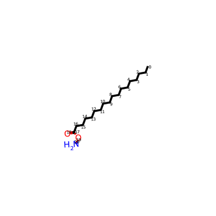 CCCCCCCCCCCCCCCCCC(=O)ON